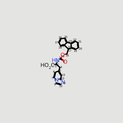 O=C(N[C@@H](Cc1ccn2ccnc2c1)C(=O)O)OCC1c2ccccc2-c2ccccc21